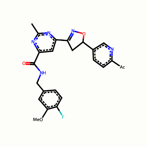 COc1cc(CNC(=O)c2cc(C3=NOC(c4ccc(C(C)=O)nc4)C3)nc(C)n2)ccc1F